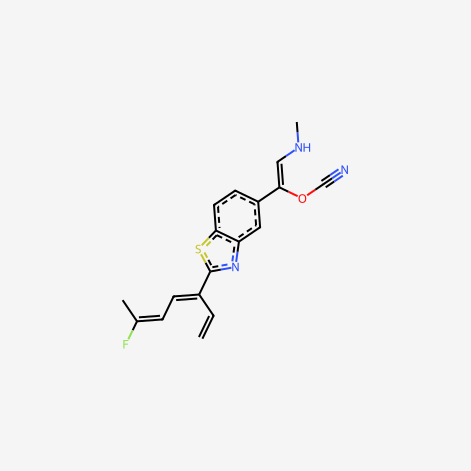 C=C/C(=C\C=C(/C)F)c1nc2cc(/C(=C/NC)OC#N)ccc2s1